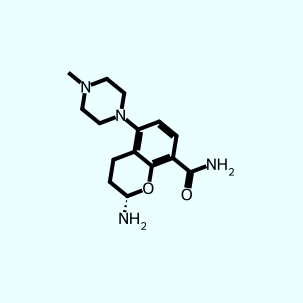 CN1CCN(c2ccc(C(N)=O)c3c2CC[C@@H](N)O3)CC1